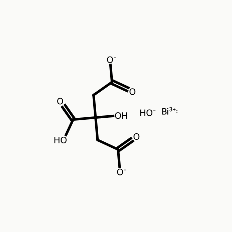 O=C([O-])CC(O)(CC(=O)[O-])C(=O)O.[Bi+3].[OH-]